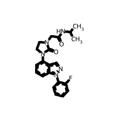 CC(C)NC(=O)CN1CCN(c2cccc3c2cnn3-c2ccccc2F)C1=O